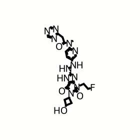 CN(C(=O)Cc1ncncn1)c1ccc(NNc2nc3c([nH]2)c(=O)n(C2CC(O)C2)c(=O)n3CCF)cn1